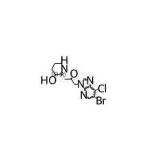 O=C(C[C@H]1NCCC[C@@H]1O)Cn1cnc2c(Cl)c(Br)cnc21